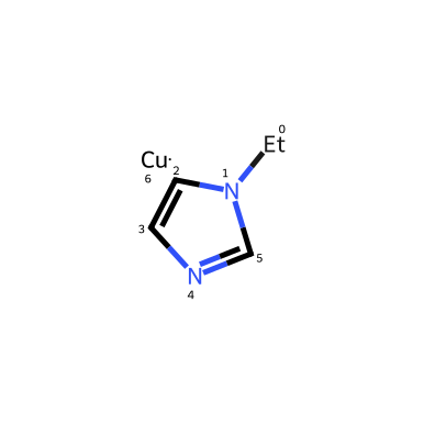 CCn1ccnc1.[Cu]